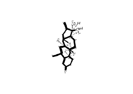 C=C1C[C@H]2[C@@H]3C=C(C)C4=CC(=O)CC[C@]4(C)[C@H]3CC[C@]2(C)[C@@]1(O)C(=O)O